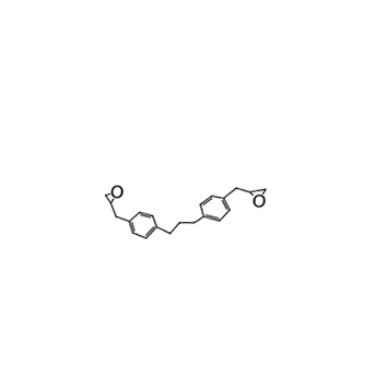 c1cc(CC2CO2)ccc1CCCc1ccc(CC2CO2)cc1